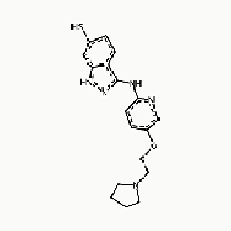 Sc1ccc2c(Nc3ccc(OCCN4CCCC4)cn3)n[nH]c2c1